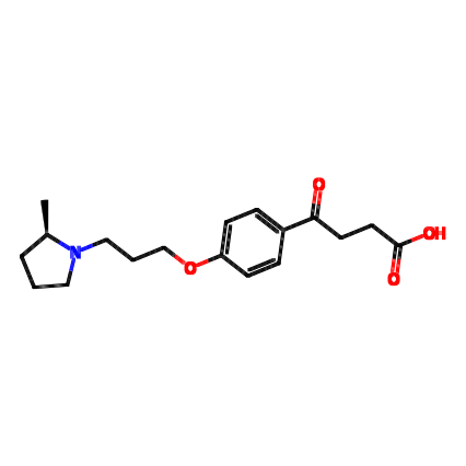 C[C@@H]1CCCN1CCCOc1ccc(C(=O)CCC(=O)O)cc1